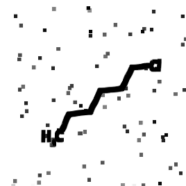 CCCC[CH]CCl